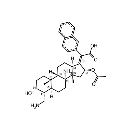 CC(=O)O[C@H]1C[C@@]2(C)[C@@H](CC[C@H]3[C@@]4(C)CC[C@@H](O)[C@@H](CN)[C@@H]4CC[C@@]32N)/C1=C(/C(=O)O)c1ccc2ccccc2c1